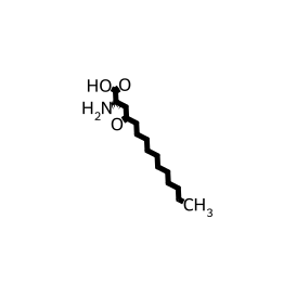 CCCCCCCCCCCC(=O)C[C@@H](N)C(=O)O